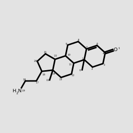 CC12CCC(=O)C=C1CCC1C2CCC2(C)C(CCN)CCC12